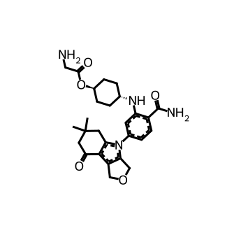 CC1(C)CC(=O)c2c3c(n(-c4ccc(C(N)=O)c(N[C@H]5CC[C@H](OC(=O)CN)CC5)c4)c2C1)COC3